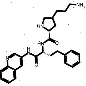 NCCCC1CN[C@H](C(=O)N[C@H](CCc2ccccc2)C(=O)Nc2cnc3ccccc3c2)C1